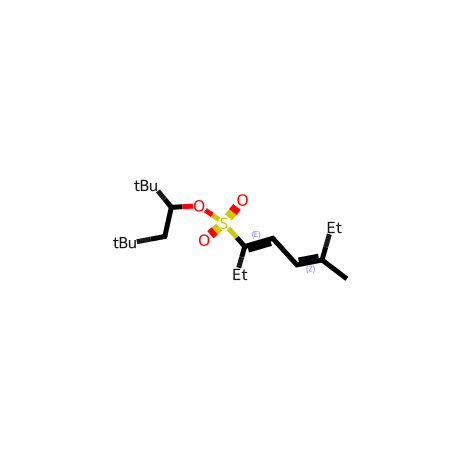 CC/C(C)=C\C=C(/CC)S(=O)(=O)OC(CC(C)(C)C)C(C)(C)C